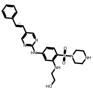 O=S(=O)(c1ccc(Nc2ncc(/C=C/c3ccccc3)cn2)cc1NCCO)N1CCNCC1